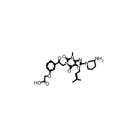 CC(C)=CCn1c(N2CCCC(N)C2)nc2c1c(=O)n(CC(=O)c1cccc(OCC(=O)O)c1)c(=O)n2C